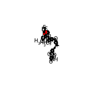 C[C@@H]1CN(C(=O)[C@@H]2N[C@]3(CCCC(C)(C)C3)[C@@]3(CNc4cc(C(F)(F)F)ncc43)[C@H]2c2cccc(Cl)c2F)c2ccc(C(=O)N3CCC4(CC3)C[C@H]4C#Cc3ccc4c(c3)C(=O)N([C@H]3CCC(=O)NC3=O)C4=O)cc2O1